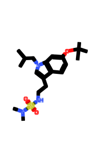 CC(C)Cn1cc(CCNS(=O)(=O)N(C)C)c2ccc(OC(C)(C)C)cc21